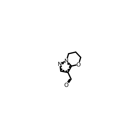 O=Cc1cnn2c1OCCC2